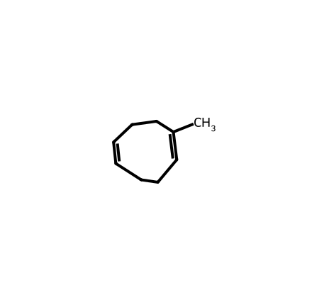 CC1=CCCC=CCC1